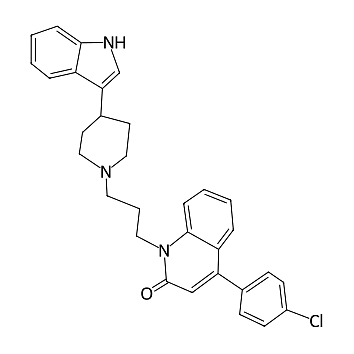 O=c1cc(-c2ccc(Cl)cc2)c2ccccc2n1CCCN1CCC(c2c[nH]c3ccccc23)CC1